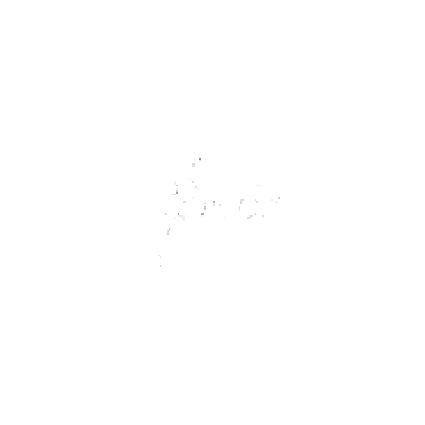 COc1ccc(CNC(=O)c2cc(C#N)ccc2NC(=O)N2CCC(O)CC2)cc1Cl